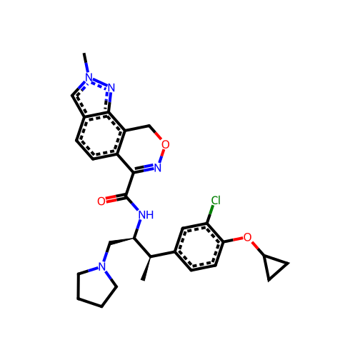 C[C@H](c1ccc(OC2CC2)c(Cl)c1)[C@@H](CN1CCCC1)NC(=O)C1=NOCc2c1ccc1cn(C)nc21